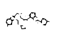 CCCCC[C@](C)(CN(CC)Cc1nc2ccc(C(=O)O)cc2n1CC[C@@H]1CCO1)C(C)c1cccc2c1O[C@@](C)(c1ccc(Cl)cn1)O2